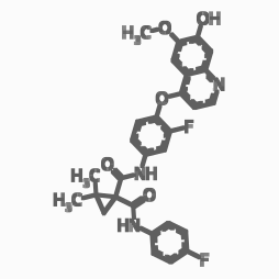 COc1cc2c(Oc3ccc(NC(=O)C4(C(=O)Nc5ccc(F)cc5)CC4(C)C)cc3F)ccnc2cc1O